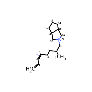 C=C/C=C\CCC(C)CN1CC2CCCC2C1